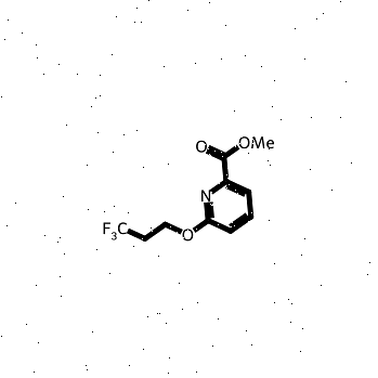 COC(=O)c1cccc(OCCC(F)(F)F)n1